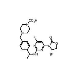 CC(C)[C@H]1COC(=O)N1c1cc(F)nc(N[C@@H](C)c2ccc(CN3CCN(C(=O)O)CC3)cc2)n1